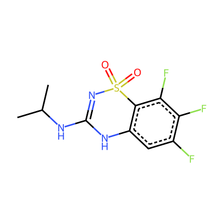 CC(C)NC1=NS(=O)(=O)c2c(cc(F)c(F)c2F)N1